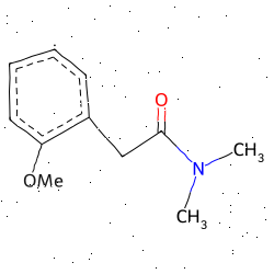 COc1cc[c]cc1CC(=O)N(C)C